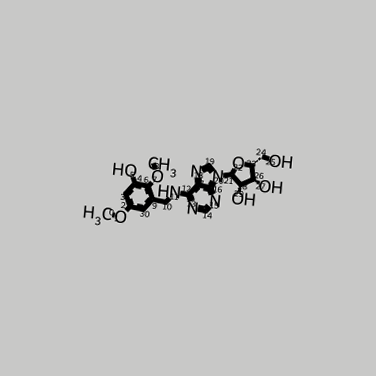 COc1cc(O)c(OC)c(CNc2ncnc3c2ncn3C2O[C@H](CO)[C@@H](O)[C@H]2O)c1